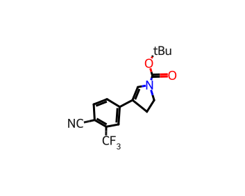 CC(C)(C)OC(=O)N1C=C(c2ccc(C#N)c(C(F)(F)F)c2)CC1